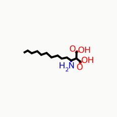 CCCCCCCCCCC(N)C(C(=O)O)C(=O)O